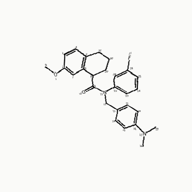 COc1ccc2c(c1)C(C(=O)N(Cc1ccc(N(C)C)cc1)c1cccc(F)c1)CCC2